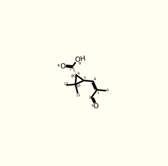 CC(C=O)=CC1[C@@H](C(=O)O)C1(C)C